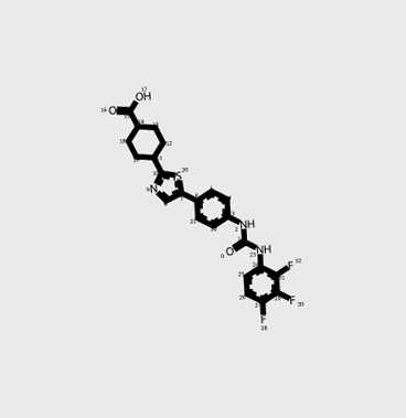 O=C(Nc1ccc(-c2cnc(C3CCC(C(=O)O)CC3)s2)cc1)Nc1ccc(F)c(F)c1F